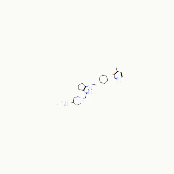 CC(=O)NC1CCN(C(=O)c2nn(CC[C@H]3CC[C@@H](Oc4cnccc4C)CC3)c3c2CCC3)CC1